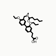 CCCCCC(=O)N(C)Cc1cc(-c2ccc(CCC(=O)O)cc2OCCC)ccc1OCC